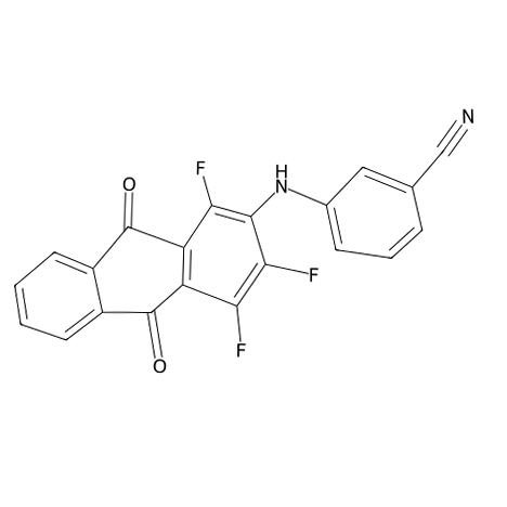 N#Cc1cccc(Nc2c(F)c(F)c3c(c2F)C(=O)c2ccccc2C3=O)c1